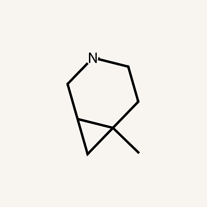 CC12CC[N]CC1C2